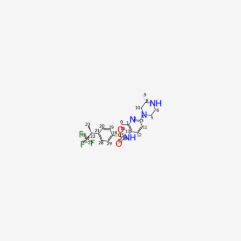 Cc1nc(N2CCN[C@@H](C)C2)ccc1NS(=O)(=O)c1ccc([C@H](C)C(F)(F)F)cc1